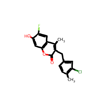 Cc1ccc(Cc2c(C)c3cc(F)c(O)cc3oc2=O)cc1Cl